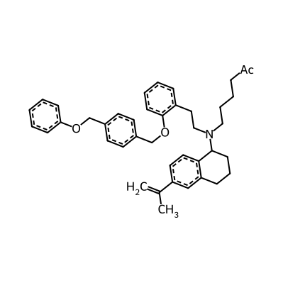 C=C(C)c1ccc2c(c1)CCCC2N(CCCCC(C)=O)CCc1ccccc1OCc1ccc(COc2ccccc2)cc1